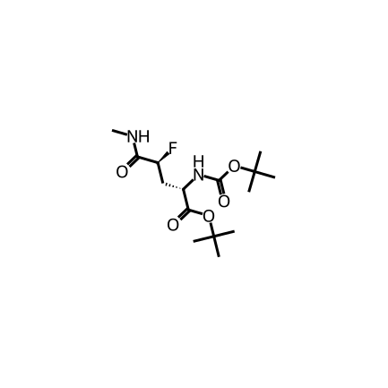 CNC(=O)[C@@H](F)C[C@H](NC(=O)OC(C)(C)C)C(=O)OC(C)(C)C